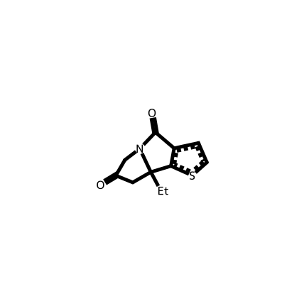 CCC12CC(=O)CN1C(=O)c1ccsc12